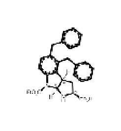 CCOC(=O)N1c2ccc(Cc3ccccc3)c(Cc3ccccc3)c2[C@H]2C[C@@H](C(=O)O)N[C@H]21